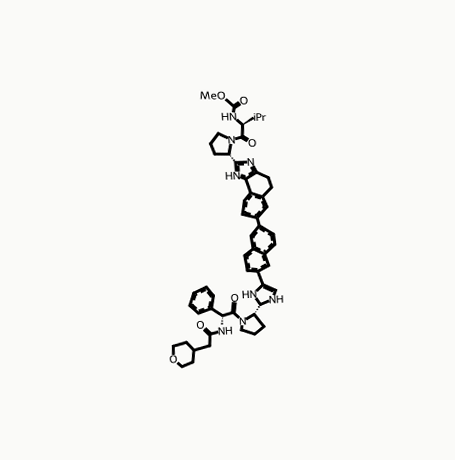 COC(=O)N[C@H](C(=O)N1CCC[C@H]1c1nc2c([nH]1)-c1ccc(-c3ccc4cc(C5=CNC([C@@H]6CCCN6C(=O)[C@H](NC(=O)CC6CCOCC6)c6ccccc6)N5)ccc4c3)cc1CC2)C(C)C